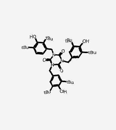 CC(C)(C)c1cc(Cn2c(=O)n(Cc3cc(C(C)(C)C)c(O)c(C(C)(C)C)c3)c(=O)n(Cc3ccc(C(C)(C)C)c(O)c3C(C)(C)C)c2=O)cc(C(C)(C)C)c1O